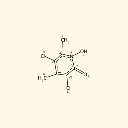 Cc1c(Cl)c(C)n(O)c(=O)c1Cl